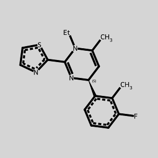 CCN1C(C)=C[C@@H](c2cccc(F)c2C)N=C1c1nccs1